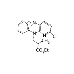 CCOC(=O)C(C)CN(c1ccccc1)c1nc(Cl)ncc1[N+](=O)[O-]